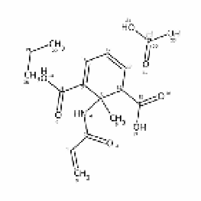 C=CC(=O)NC1(C)C(C(=O)O)=CC=CC1C(=O)O.CCC.O=[PH](O)O